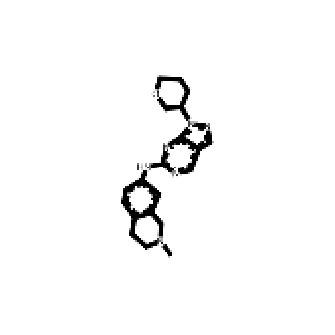 CN1CCc2ccc(Nc3ncc4cnn(C5CCCOC5)c4n3)cc2C1